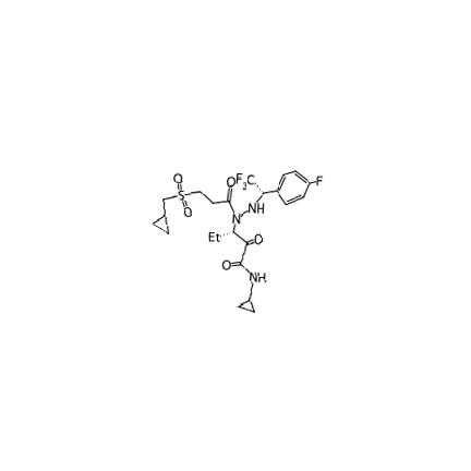 CC[C@@H](C(=O)C(=O)NC1CC1)N(N[C@@H](c1ccc(F)cc1)C(F)(F)F)C(=O)CCS(=O)(=O)CC1CC1